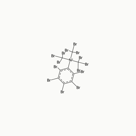 Brc1c(Br)c(Br)c([N+](C(Br)(Br)Br)(C(Br)(Br)Br)C(Br)(Br)Br)c(Br)c1Br